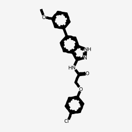 COc1cccc(-c2ccc3c(NC(=O)COc4ccc(Cl)cc4)n[nH]c3c2)c1